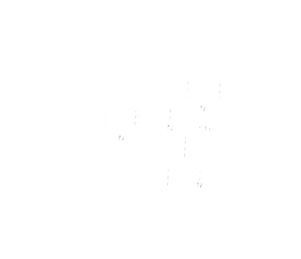 C=C(c1cccnc1)N(Cc1ccccn1)Cc1ccccn1